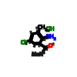 CNC(=O)c1cc(Cl)cc(C)c1N.Cl